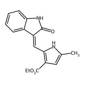 CCOC(=O)c1cc(C)[nH]c1/C=C1\C(=O)Nc2ccccc21